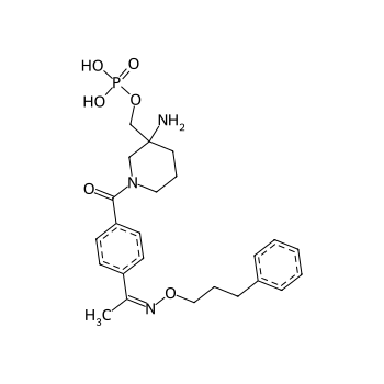 CC(=NOCCCc1ccccc1)c1ccc(C(=O)N2CCCC(N)(COP(=O)(O)O)C2)cc1